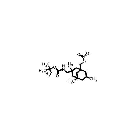 CC1CC2(C)CC(C)(CNC(=O)OC(C)(C)C)CC(CO[N+](=O)[O-])(C1)C2